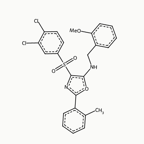 COc1ccccc1CNc1oc(-c2ccccc2C)nc1S(=O)(=O)c1ccc(Cl)c(Cl)c1